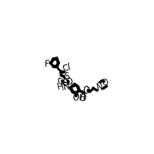 O=C(OCCCN1CCOCC1)c1ccc(NS(=O)(=O)c2cc(-c3cccc(F)c3)c(Cl)s2)cc1O